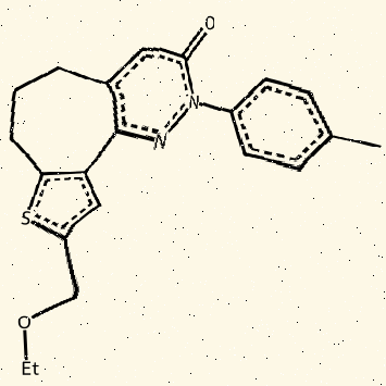 CCOCc1cc2c(s1)CCCc1cc(=O)n(-c3ccc(C)cc3)nc1-2